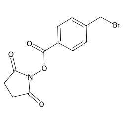 O=C(ON1C(=O)CCC1=O)c1ccc(CBr)cc1